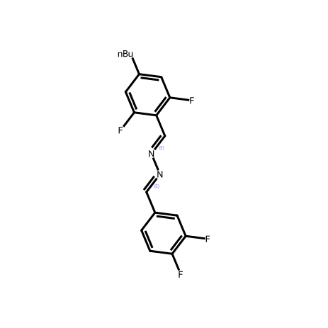 CCCCc1cc(F)c(/C=N/N=C/c2ccc(F)c(F)c2)c(F)c1